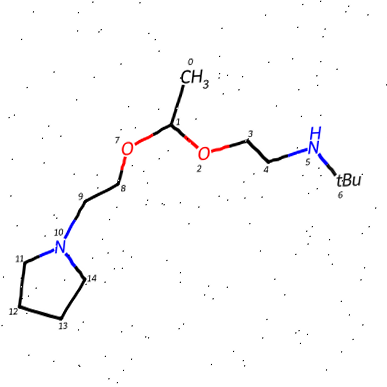 CC(OCCNC(C)(C)C)OCCN1CCCC1